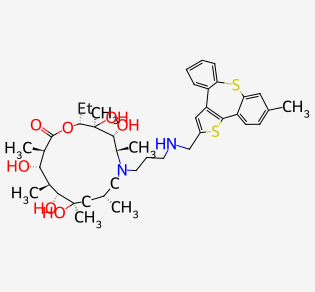 CC[C@H]1OC(=O)[C@H](C)[C@@H](O)[C@H](C)[C@@H](O)[C@](C)(O)C[C@@H](C)CN(CCCNCc2cc3c(s2)-c2ccc(C)cc2Sc2ccccc2-3)[C@H](C)[C@@H](O)[C@]1(C)O